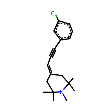 CN1C(C)(C)CC(=CC#Cc2cccc(Cl)c2)CC1(C)C